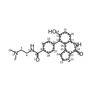 CN(C)CCNC(=O)c1ccc(-c2c(O)ccc3[nH]c(=O)c4sccc4c23)cc1